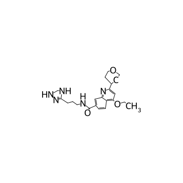 CCOc1cc(C2CCOCC2)nc2cc(C(=O)NCCCC3=NNCN3)ccc12